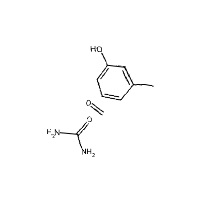 C=O.Cc1cccc(O)c1.NC(N)=O